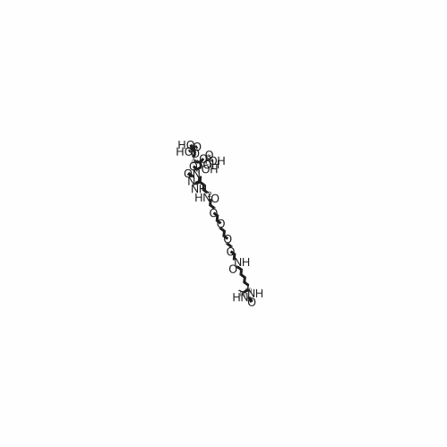 C[C@@H]1NC(=O)N[C@@H]1CCCCCC(=O)NCCOCCOCCCOCCOCCC(=O)NCCCc1cn([C@@H]2O[C@H](COP(=O)(O)O)C(OP(=O)(O)O)C2O)c(=O)nc1N